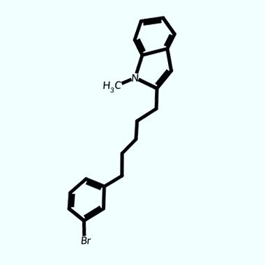 Cn1c(CCCCCc2cccc(Br)c2)cc2ccccc21